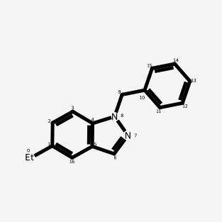 [CH2]Cc1ccc2c(cnn2Cc2ccccc2)c1